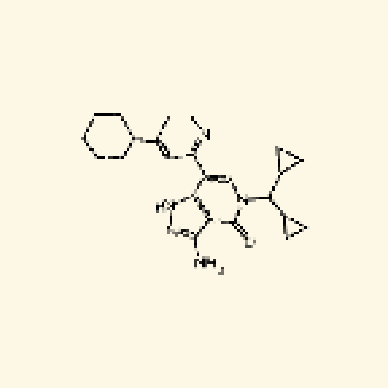 C/N=C(\C=C(/C)C1CCCCC1)c1cn(C(C2CC2)C2CC2)c(=O)c2c(N)n[nH]c12